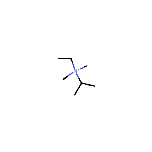 CC[N+](C)(C)C(C)C